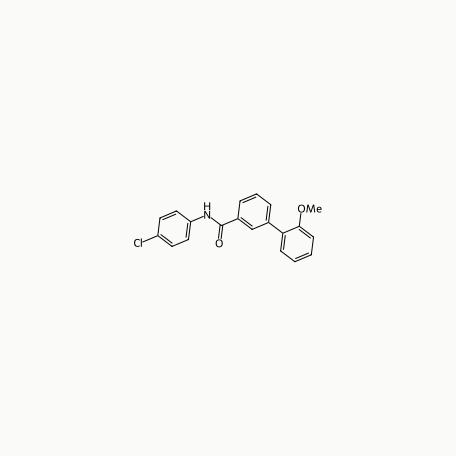 COc1ccccc1-c1cccc(C(=O)Nc2ccc(Cl)cc2)c1